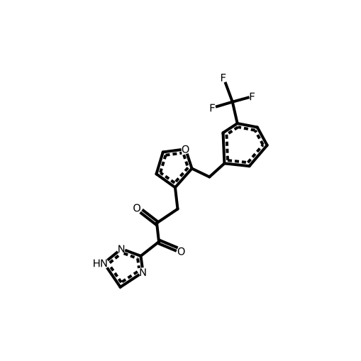 O=C(Cc1ccoc1Cc1cccc(C(F)(F)F)c1)C(=O)c1nc[nH]n1